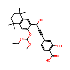 CCOC(OC)Oc1cc2c(cc1C(O)C#Cc1ccc(C(=O)O)c(O)c1)C(C)(C)CCC2(C)C